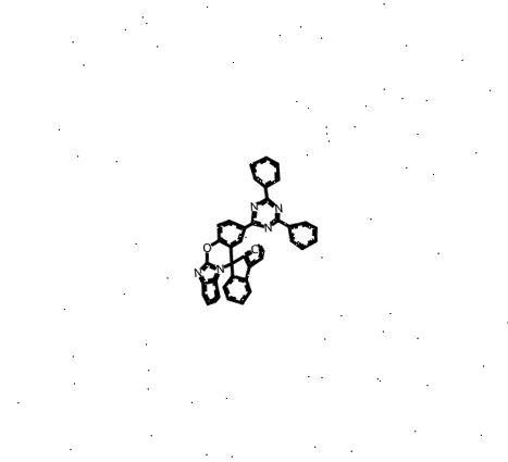 c1ccc(-c2nc(-c3ccccc3)nc(-c3ccc4c(c3)C3(c5ccccc5-c5ccccc53)n3c(nc5ccccc53)O4)n2)cc1